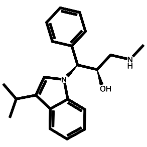 CNC[C@@H](O)[C@H](c1ccccc1)n1cc(C(C)C)c2ccccc21